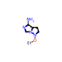 CCOn1ccc2c(N)ncn21